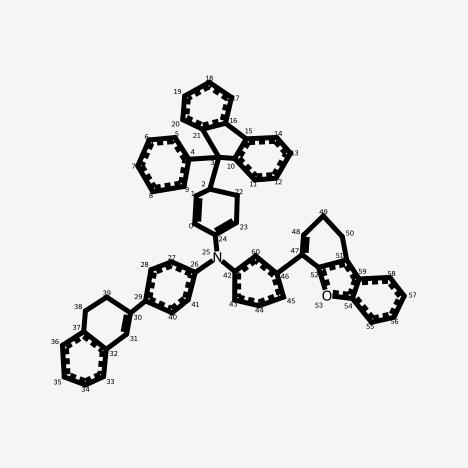 C1=CC(C2(c3ccccc3)c3ccccc3-c3ccccc32)CC=C1N(c1ccc(C2=Cc3ccccc3CC2)cc1)c1cccc(C2=CCCc3c2oc2ccccc32)c1